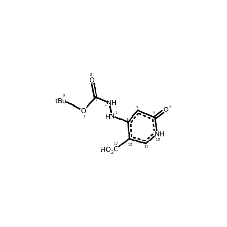 CC(C)(C)OC(=O)NNc1cc(=O)[nH]cc1C(=O)O